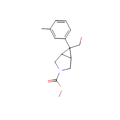 CC(C)(C)OC(=O)N1CC2C(C1)C2(CO)c1cccc([N+](=O)[O-])c1